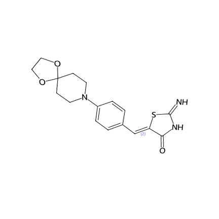 N=C1NC(=O)/C(=C/c2ccc(N3CCC4(CC3)OCCO4)cc2)S1